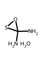 NC1(N)OS1.O